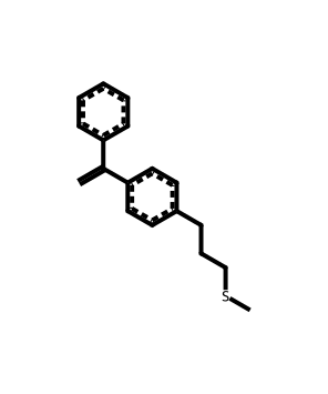 C=C(c1ccccc1)c1ccc(CCCSC)cc1